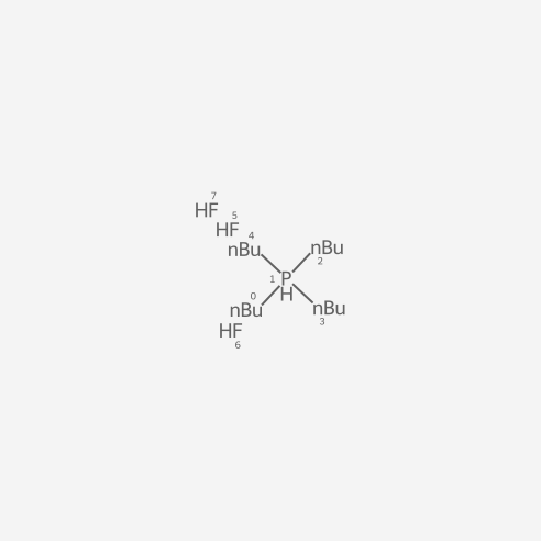 CCCC[PH](CCCC)(CCCC)CCCC.F.F.F